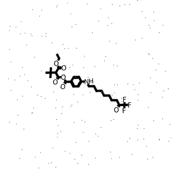 CCOC(=O)C(C(=O)OC(=O)c1ccc(NCCCCCCCCC(=O)C(F)(F)F)cc1)C(C)(C)C